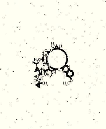 COc1ccc2nc3c(nc2c1)O[C@H]1CN(C(=O)[C@H](C(C)(C)C)NC(=O)O[C@@]2(C)C[C@@H]2CCCCC3)C(C(=O)N[C@]2(C(=O)NS(=O)(=O)C3(C)CC3)C[C@H]2C(F)F)[C@@H]1C